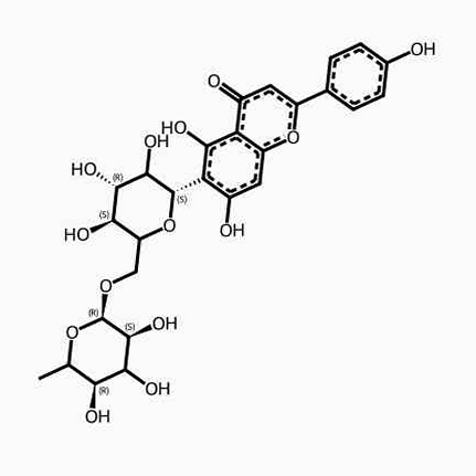 CC1O[C@@H](OCC2O[C@@H](c3c(O)cc4oc(-c5ccc(O)cc5)cc(=O)c4c3O)C(O)[C@@H](O)[C@@H]2O)[C@@H](O)C(O)[C@H]1O